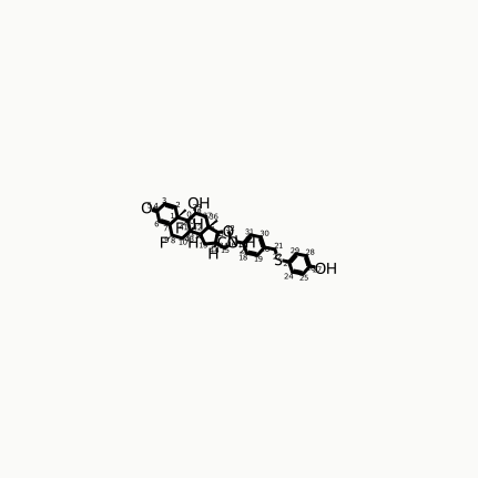 C[C@]12C=CC(=O)C=C1[C@@H](F)C[C@H]1[C@@H]3C[C@H]4CN(c5ccc(CSc6ccc(O)cc6)cc5)O[C@@]4(C(=O)O)[C@@]3(C)C[C@H](O)[C@@]12F